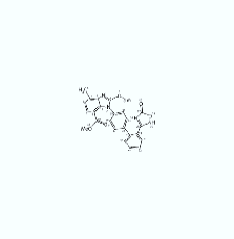 CCCOc1nc2c(C)ccc(C(=O)OC)c2n1-c1ccc(-c2ccccc2-c2nc(=O)o[nH]2)cc1